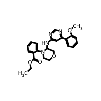 CCOC(=O)c1ccccc1N1CCOCC1Nc1cc(-c2ccccc2OC)ncn1